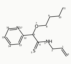 C=CCNC(=S)C(OCCCC)c1ccccn1